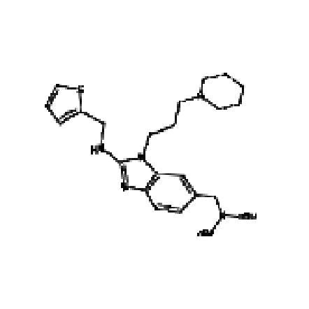 CCCCN(CCCC)Cc1ccc2nc(NCc3cccs3)n(CCCN3CCCCC3)c2c1